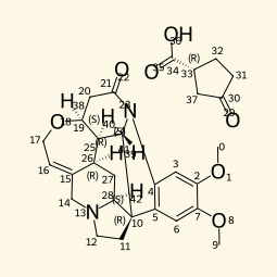 COc1cc2c(cc1OC)[C@@]13CCN4CC5=CCO[C@H]6CC(=O)N2[C@H]1[C@H]6[C@H]5C[C@H]43.O=C1CC[C@@H](C(=O)O)C1